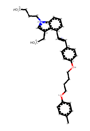 Cc1ccc(OCCCCOc2ccc(/C=C/c3cccc4c3c(CC(=O)O)cn4CCCC(=O)O)cc2)cc1